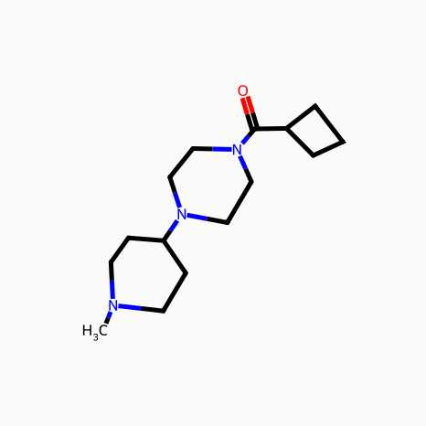 CN1CCC(N2CCN(C(=O)C3CCC3)CC2)CC1